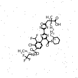 CC[C@H](NS(=O)(=O)c1ccc(-c2sc(-c3noc(CC(C)(C)C(=O)O)n3)nc2C(=O)N2CCCC[C@@H]2C)c(C(F)F)c1Cl)C(F)(F)F